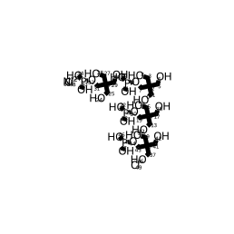 OCC(CO)(CO)COP(O)O.OCC(CO)(CO)COP(O)O.OCC(CO)(CO)COP(O)O.OCC(CO)(CO)COP(O)O.[Cl-].[Cl-].[Ni+2]